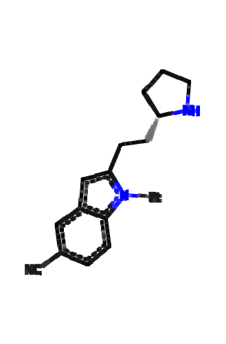 CCn1c(CC[C@@H]2CCCN2)cc2cc(C#N)ccc21